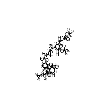 Cc1ccc(OC(=O)N(C)CCNC(=O)C(CCCCNC(=O)OC(C)(C)C)NC(=O)OC(C)(C)C)c2c1[C@@]1(CCN(C)CC3CC3)[C@@H](O2)C(=O)CC[C@@]1(O)C(C)C